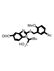 COc1ccc(C(C)=O)cc1CSc1nc2cc(C=O)ccc2n1C(C(=O)O)C(C)(C)C